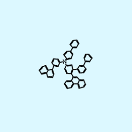 c1ccc(-c2ccc(N(c3cccc(-c4cccc5ccccc45)c3)c3ccc(-c4cc5ccccc5c5ccccc45)c(-c4cccc(-c5ccccc5)c4)c3)cc2)cc1